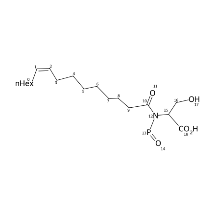 CCCCCC/C=C\CCCCCCCC(=O)N(P=O)C(CO)C(=O)O